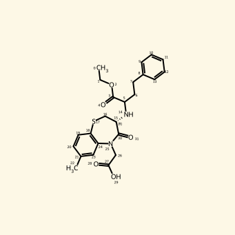 CCOC(=O)C(CCc1ccccc1)N[C@H]1CSc2ccc(C)cc2N(CC(=O)O)C1=O